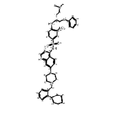 CN(C)CC[C@H](CSc1ccccc1)Nc1ccc(S(=O)(=O)Nc2ncnc3cc(N4CCN(Cc5ccccc5C5CCCCC5)CC4)ccc23)cc1[N+](=O)[O-]